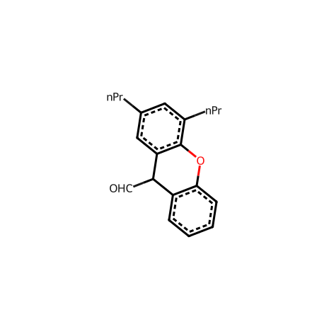 CCCc1cc(CCC)c2c(c1)C(C=O)c1ccccc1O2